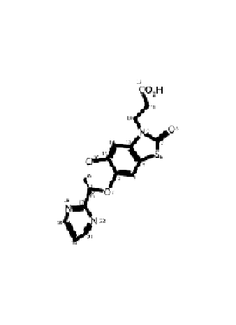 C[C@@H](Oc1cc2sc(=O)n(CCC(=O)O)c2cc1Cl)c1ncccn1